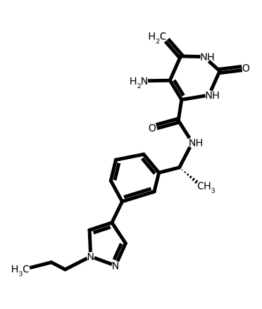 C=C1NC(=O)NC(C(=O)N[C@H](C)c2cccc(-c3cnn(CCC)c3)c2)=C1N